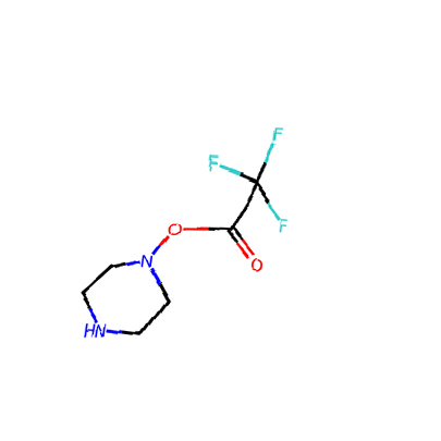 O=C(ON1CCNCC1)C(F)(F)F